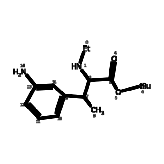 CCNC(C(=O)OC(C)(C)C)C(C)c1cccc(N)c1